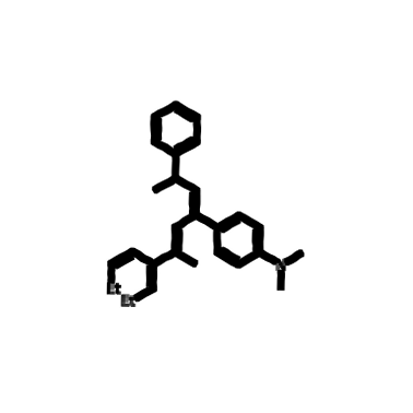 CC\C=C/C(=C\CC)C(/C)=C/C(=C\C(C)c1ccccc1)c1ccc(N(C)C)cc1